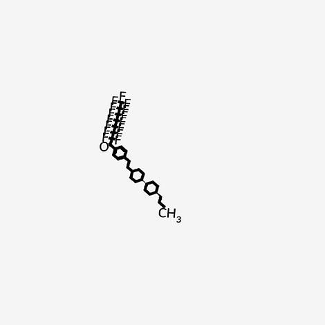 CCCC[C@H]1CC[C@H](C2CCC(CCc3ccc(C(=O)C(F)(F)C(F)(F)C(F)(F)C(F)(F)C(F)(F)C(F)(F)C(F)(F)F)cc3)CC2)CC1